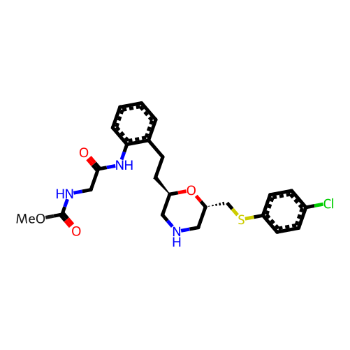 COC(=O)NCC(=O)Nc1ccccc1CC[C@@H]1CNC[C@@H](CSc2ccc(Cl)cc2)O1